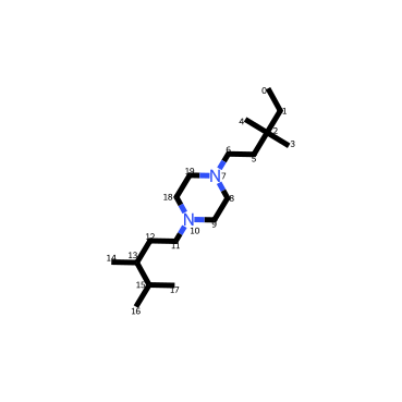 CCC(C)(C)CCN1CCN(CCC(C)C(C)C)CC1